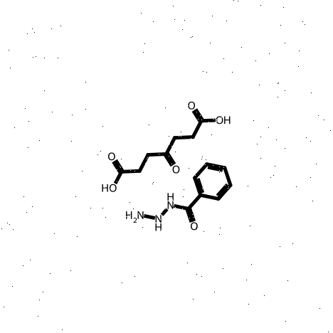 NNNC(=O)c1ccccc1.O=C(O)CCC(=O)CCC(=O)O